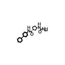 CCNC(=O)N[C@H]1CC[C@@H](C(=O)Nc2ccc(-c3ccccc3)cc2)C1